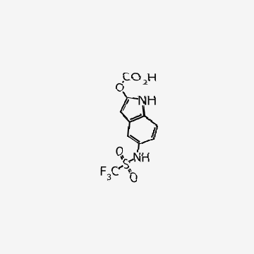 O=C(O)Oc1cc2cc(NS(=O)(=O)C(F)(F)F)ccc2[nH]1